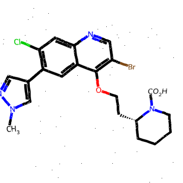 Cn1cc(-c2cc3c(OCC[C@H]4CCCCN4C(=O)O)c(Br)cnc3cc2Cl)cn1